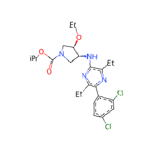 CCO[C@@H]1CN(C(=O)OC(C)C)C[C@@H]1Nc1nc(CC)c(-c2ccc(Cl)cc2Cl)nc1CC